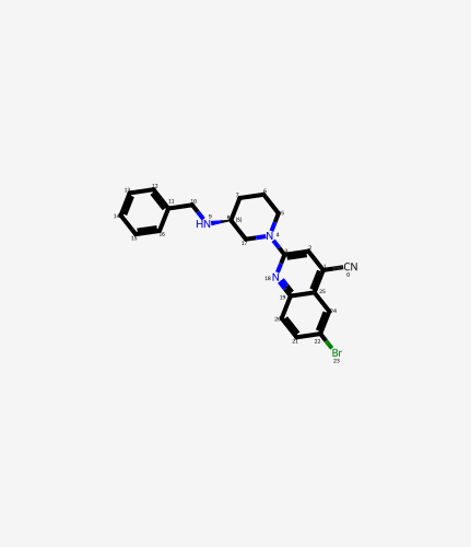 N#Cc1cc(N2CCC[C@H](NCc3ccccc3)C2)nc2ccc(Br)cc12